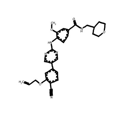 C=CCOc1cc(-c2cnc(Nc3ccc(C(=O)NCC4CCOCC4)cc3OC)nc2)ccc1C#N